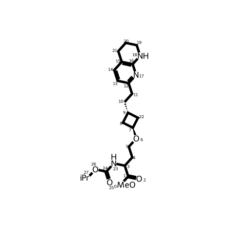 COC(=O)C(CCO[C@H]1C[C@H](CCc2ccc3c(n2)NCCC3)C1)NC(=O)OC(C)C